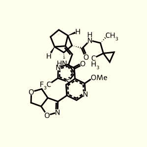 COc1ncc(C2=NOC3COCC23)cc1C(=O)N[C@H]1[C@@H](C(=O)N[C@H](C)C2(C)CC2)[C@H]2CC[C@@H]1/C2=C\c1csc(C(F)(F)F)n1